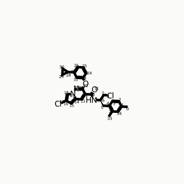 Cc1ccc(C[C@H](CCl)NC(=O)c2cc3cc(Cl)cn3nc2Oc2cccc(C3CC3)c2)c(C)c1